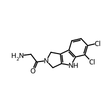 NCC(=O)N1Cc2[nH]c3c(Cl)c(Cl)ccc3c2C1